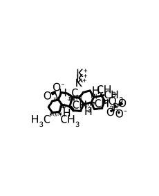 C[C@H]1[C@H](C)CC[C@]2(C(=O)[O-])CC[C@]3(C)C(=CC[C@@H]4[C@@]5(C)CC[C@H](OP(=O)([O-])[O-])C(C)(C)[C@@H]5CC[C@]43C)[C@H]12.[K+].[K+].[K+]